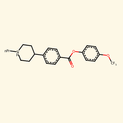 CCC[SiH]1CCC(c2ccc(C(=O)Oc3ccc(OC(F)(F)F)cc3)cc2)CC1